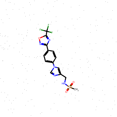 CS(=O)(=O)NCc1cn(-c2ccc(-c3noc(C(F)(F)F)n3)cc2)cn1